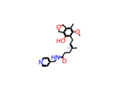 COc1c(C)c2c(c(O)c1C/C=C(\C)CCC(=O)NCc1ccncc1)COC2